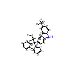 CCC(C)(C)C1(c2ccc3[nH]c4ccc(C(C)(C)C)cc4c3c2)c2ccccc2-c2ccccc21